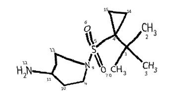 CC(C)(C)C1(S(=O)(=O)N2CCC(N)C2)CC1